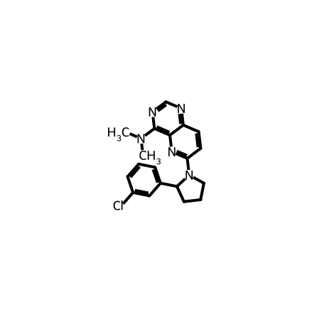 CN(C)c1ncnc2ccc(N3CCCC3c3cccc(Cl)c3)nc12